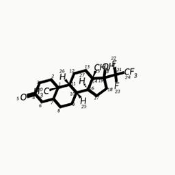 C[C@]12CCC(=O)CC1CC[C@@H]1[C@H]2CC[C@@]2(C)[C@H]1CCC2(O)C(F)(F)C(F)(F)F